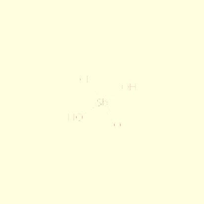 [O]=[Sb]([OH])([OH])[Cl]